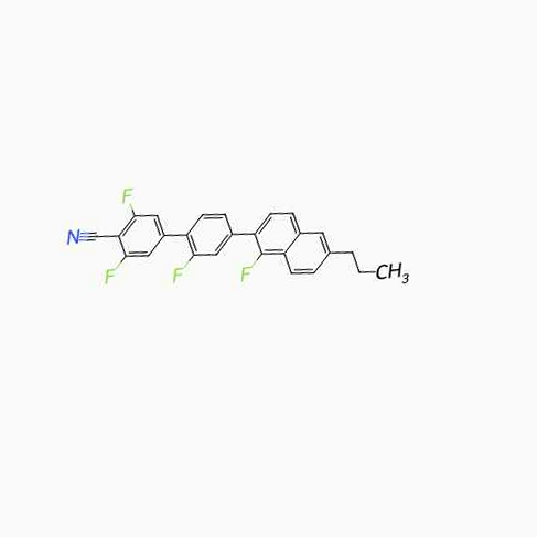 CCCc1ccc2c(F)c(-c3ccc(-c4cc(F)c(C#N)c(F)c4)c(F)c3)ccc2c1